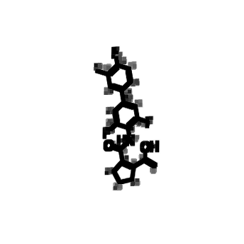 C=C(O)C1=C(C(=O)Nc2c(F)cc(-c3ccc(F)c(C)c3)cc2F)CCC1